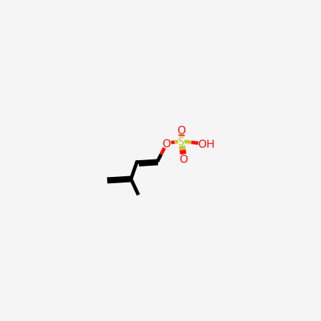 C=C(C)C=COS(=O)(=O)O